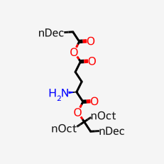 CCCCCCCCCCCC(=O)OC(=O)CC[C@H](N)C(=O)OC(CCCCCCCC)(CCCCCCCC)CCCCCCCCCCC